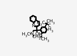 COc1ccc(C(C)(C)C)cc1C(O)(CN(C)C)c1ccc2ccccc2n1